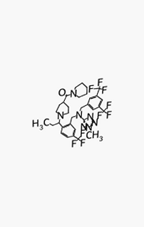 CCC(c1ccc(C(F)(F)F)cc1CN(Cc1cc(C(F)(F)F)cc(C(F)(F)F)c1)c1nnn(C)n1)N1CCC(C(=O)N2CCCCC2)CC1